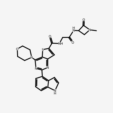 CN1CC(NC(=O)CNC(=O)c2cc3nc(-c4cccc5[nH]ccc45)nc(N4CCOCC4)c3s2)C1=O